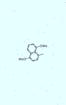 COc1ccc(C)c2c(OC)cccc12